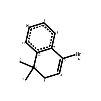 CC1(C)CC=C(Br)c2ccccc21